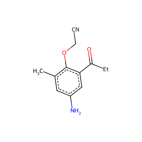 CCC(=O)c1cc(N)cc(C)c1OCC#N